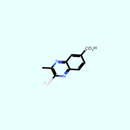 Bc1nc2ccc(C(=O)O)cc2nc1C